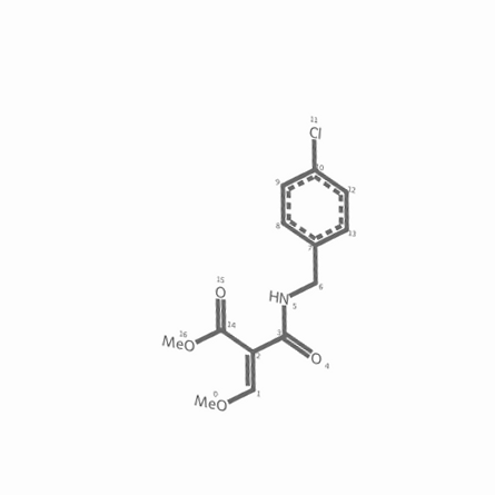 COC=C(C(=O)NCc1ccc(Cl)cc1)C(=O)OC